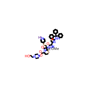 CO/N=C(\C(=O)NC1(CSc2ccncc2)C(=O)N2C(C(=O)ON3CCN(CCO)CC3)=CCS[C@H]21)c1csc(NC(c2ccccc2)(c2ccccc2)c2ccccc2)n1.I